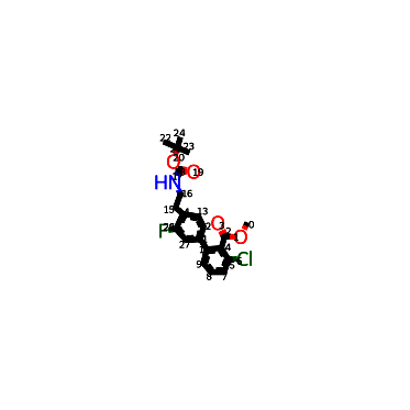 COC(=O)c1c(Cl)cccc1-c1ccc(CCNC(=O)OC(C)(C)C)c(F)c1